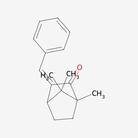 CC12CCC(/C(=C/c3ccccc3)C1=O)C2(C)C